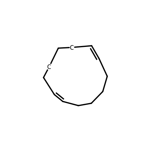 C1=C\CCCC/C=C\CCCC/1